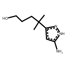 CC(C)(CCCO)c1cc(N)[nH]n1